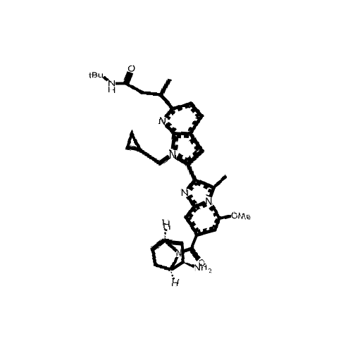 COc1cc(C(=O)N2[C@H]3CC[C@@H]2[C@H](N)C3)cc2nc(-c3cc4ccc(C(C)CC(=O)NC(C)(C)C)nc4n3CC3CC3)c(C)n12